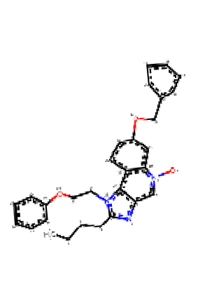 CCCCc1nc2c[n+]([O-])c3cc(OCc4ccccc4)ccc3c2n1CCOc1ccccc1